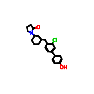 O=C1CCCN1C1CCCC(Cc2ccc(-c3ccc(O)cc3)cc2Cl)C1